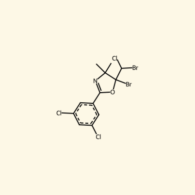 CC1(C)N=C(c2cc(Cl)cc(Cl)c2)OC1(Br)C(Cl)Br